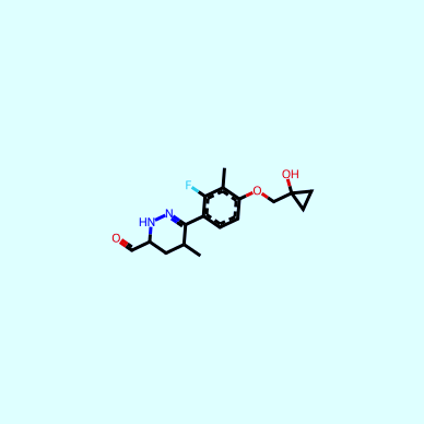 Cc1c(OCC2(O)CC2)ccc(C2=NNC(C=O)CC2C)c1F